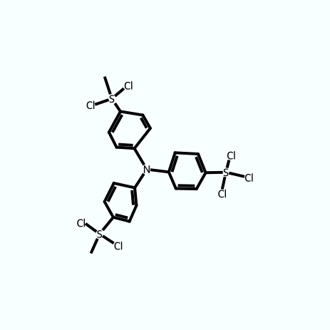 CS(Cl)(Cl)c1ccc(N(c2ccc(S(C)(Cl)Cl)cc2)c2ccc(S(Cl)(Cl)Cl)cc2)cc1